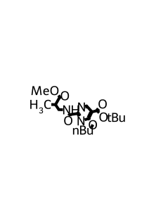 CCCCOc1nc(C(=O)NCC(C)C(=O)OC)ncc1C(=O)OC(C)(C)C